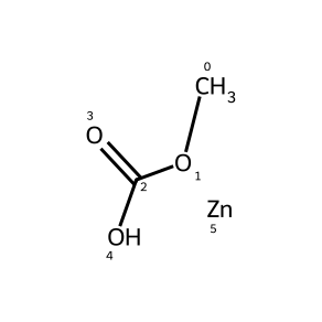 COC(=O)O.[Zn]